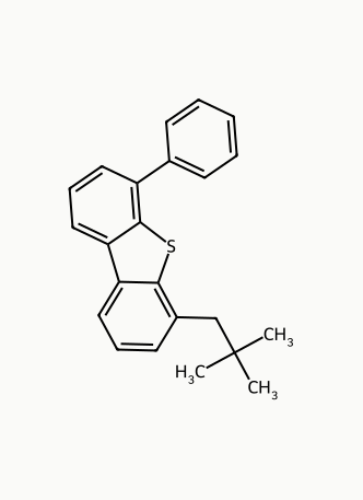 CC(C)(C)Cc1cccc2c1sc1c(-c3ccccc3)cccc12